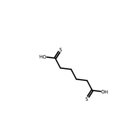 OC(=S)CCCCC(O)=S